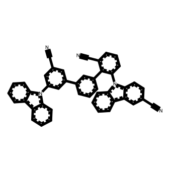 N#Cc1cc(-c2cccc(-c3c(C#N)cccc3-n3c4ccccc4c4cc(C#N)ccc43)c2)cc(-n2c3ccccc3c3ccccc32)c1